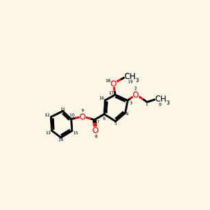 CCOc1ccc(C(=O)Oc2ccccc2)cc1OC